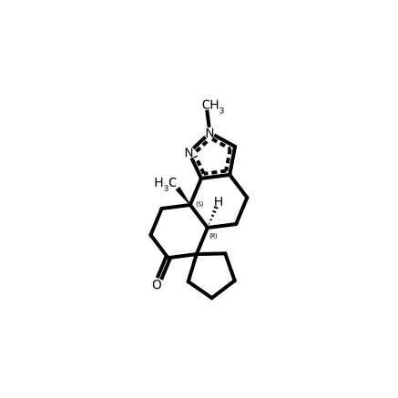 Cn1cc2c(n1)[C@@]1(C)CCC(=O)C3(CCCC3)[C@@H]1CC2